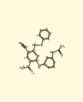 CC(=O)Nc1cccc(Nc2nc(NCc3ccccc3)c(C#N)cc2C(N)=O)c1